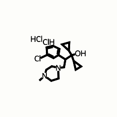 CN1CCN(CC(c2cccc(Cl)c2)C(O)(C2CC2)C2CC2)CC1.Cl.Cl